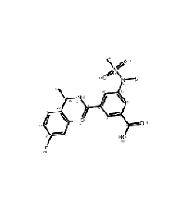 C[C@@H](NC(=O)c1cc(C(=O)O)cc(N(C)S(C)(=O)=O)c1)c1ccc(F)cc1